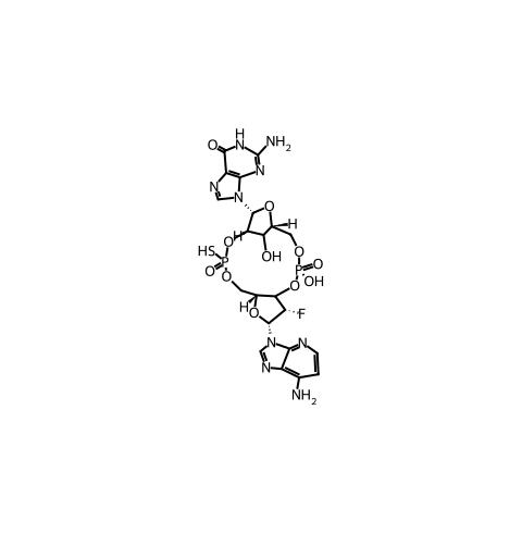 Nc1nc2c(ncn2[C@@H]2O[C@@H]3COP(=O)(O)OC4[C@@H](COP(=O)(S)O[C@H]2C3O)O[C@@H](n2cnc3c(N)ccnc32)[C@H]4F)c(=O)[nH]1